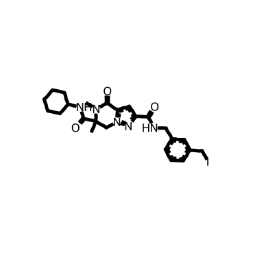 CN1C(=O)c2cc(C(=O)NCc3cccc(CI)c3)nn2CC1(C)C(=O)NC1CCCCC1